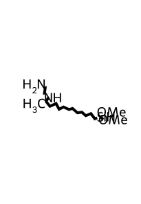 CO[SiH](CCCCCCCCCCCC(C)NCCN)OC